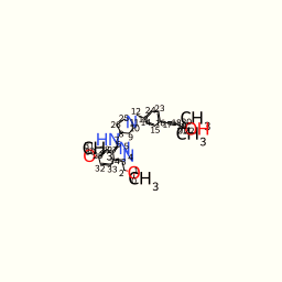 COCc1nnc(NC2CCN(Cc3ccc(C#CC(C)(C)O)cc3)CC2)c2cc(OC)ccc12